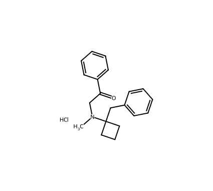 CN(CC(=O)c1ccccc1)C1(Cc2ccccc2)CCC1.Cl